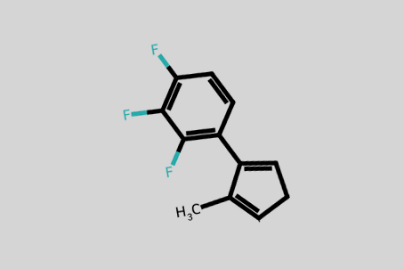 CC1=[C]CC=C1c1ccc(F)c(F)c1F